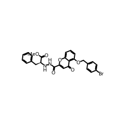 COC(=O)[C@H](Cc1ccccc1)NNC(=O)c1cc(=O)c2c(OCc3ccc(Br)cc3)cccc2o1